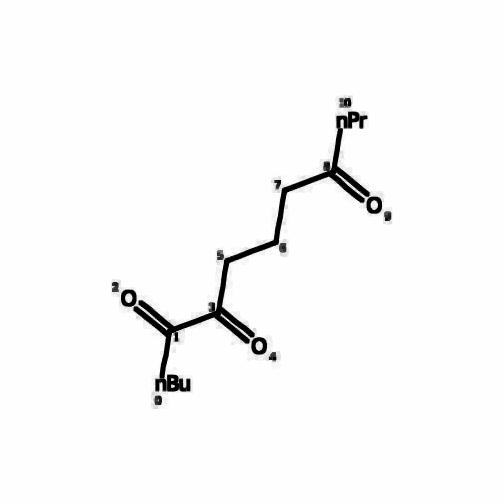 CCCCC(=O)C(=O)CCCC(=O)CCC